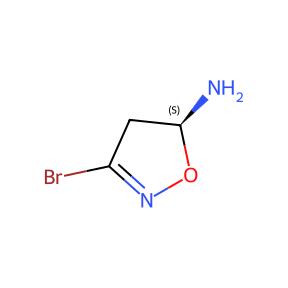 N[C@@H]1CC(Br)=NO1